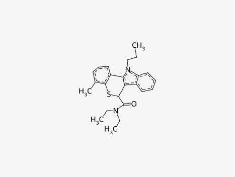 CCCn1c2c(c3ccccc31)C(C(=O)N(CC)CC)Sc1c(C)cccc1-2